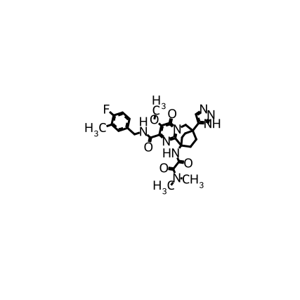 COc1c(C(=O)NCc2ccc(F)c(C)c2)nc2n(c1=O)CC1(c3cnn[nH]3)CCC2(NC(=O)C(=O)N(C)C)CC1